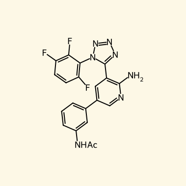 CC(=O)Nc1cccc(-c2cnc(N)c(-c3nnnn3-c3c(F)ccc(F)c3F)c2)c1